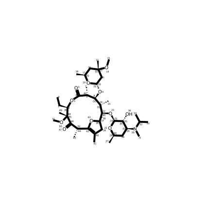 CC[C@H]1OC(=O)[C@H](C)[C@@H](O[C@H]2C[C@@](C)(OC)C[C@H](C)O2)[C@H](C)[C@@H](O[C@@H]2O[C@H](C)C[C@H](N(C)C(C)C)[C@H]2O)[C@@]2(C)CC(C)=C(O2)[C@H](C)C(=O)[C@]1(C)OC